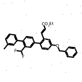 CCOC(=O)/C=C/c1cc(OCc2ccccc2)ccc1-c1ccc(-c2cccc(C)c2)c(C(F)F)c1